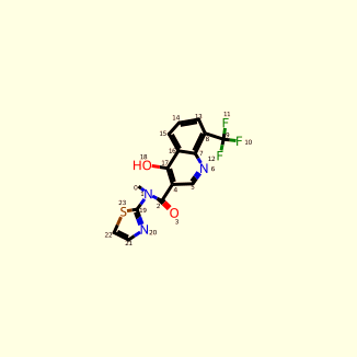 CN(C(=O)c1cnc2c(C(F)(F)F)cccc2c1O)c1nccs1